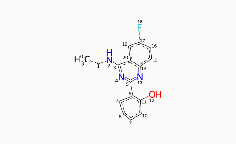 CCNc1nc(-c2ccccc2O)nc2ccc(F)cc12